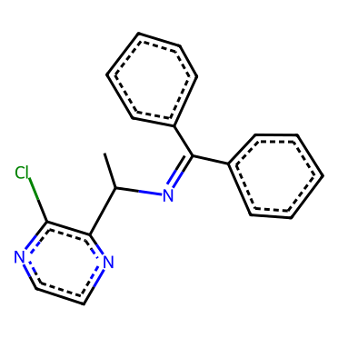 CC(N=C(c1ccccc1)c1ccccc1)c1nccnc1Cl